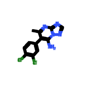 Cc1nc2ncnn2c(N)c1-c1ccc(Cl)c(Cl)c1